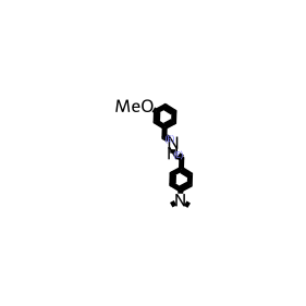 COc1cccc(/C=N/N=C/c2ccc(N(C)C)cc2)c1